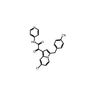 N#Cc1ccc(Cc2cc(C(=O)C(=O)Nc3ccncc3)c3cc(Cl)ccn23)cc1